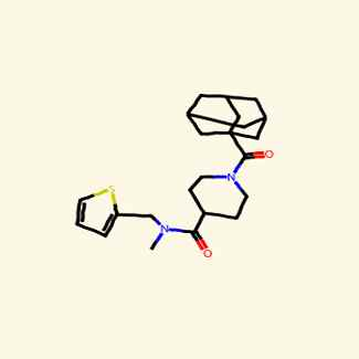 CN(Cc1cccs1)C(=O)C1CCN(C(=O)C23CC4CC(CC(C4)C2)C3)CC1